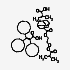 C=C(C)C(=O)O.C=C(C)C(=O)OOCCOC(=O)C12CC3CC(CC(C3)C1)C2.O=C(O)C(=C(C1CCCCCCCCC1)C1CCCCCCCCC1)C1CCCCCCCCC1